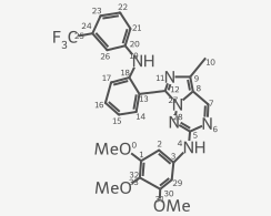 COc1cc(Nc2ncc3c(C)nc(-c4ccccc4Nc4cccc(C(F)(F)F)c4)n3n2)cc(OC)c1OC